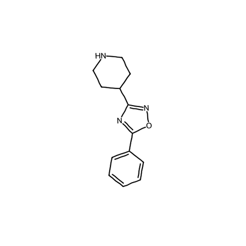 c1ccc(-c2nc(C3CCNCC3)no2)cc1